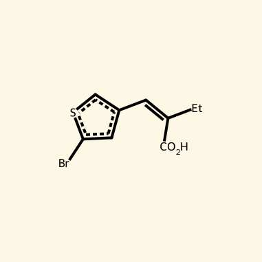 CCC(=Cc1csc(Br)c1)C(=O)O